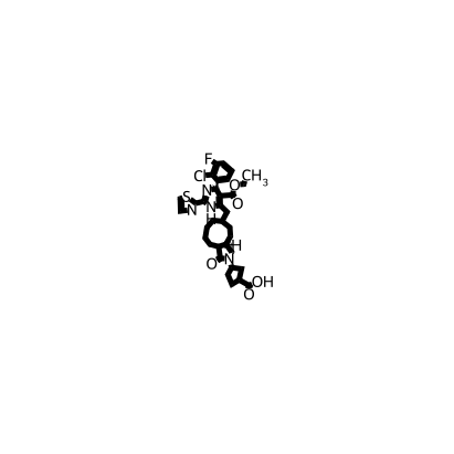 CCOC(=O)C1=C(CC2CCCCC3C(=O)N(C4CCC(C(=O)O)C4)C[C@@H]3CC2)NC(c2nccs2)=N[C@H]1c1cccc(F)c1Cl